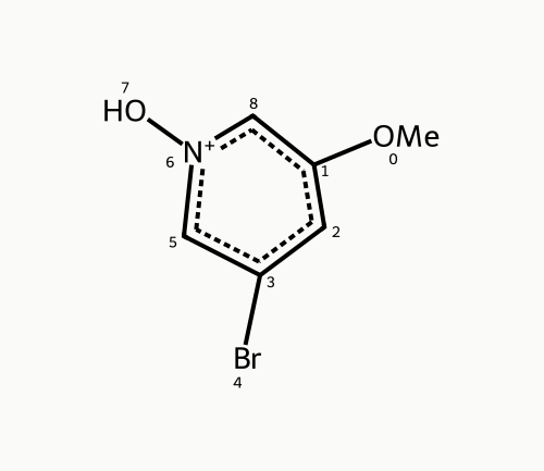 COc1cc(Br)c[n+](O)c1